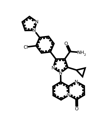 NC(=O)c1c(-c2ccc(-n3cccn3)c(Cl)c2)nn(-c2cccn3c(=O)ccnc23)c1C1CC1